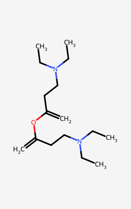 C=C(CCN(CC)CC)OC(=C)CCN(CC)CC